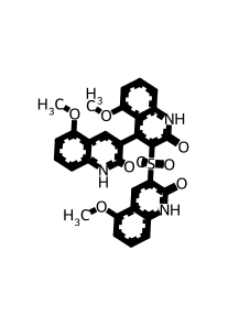 COc1cccc2[nH]c(=O)c(-c3c(S(=O)(=O)c4cc5c(OC)cccc5[nH]c4=O)c(=O)[nH]c4cccc(OC)c34)cc12